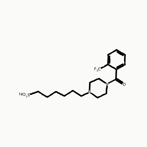 O=C(c1ccccc1C(F)(F)F)N1CCN(CCCCCCS(=O)(=O)O)CC1